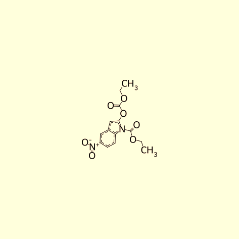 CCOC(=O)Oc1cc2cc([N+](=O)[O-])ccc2n1C(=O)OCC